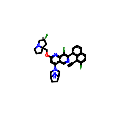 C#Cc1c(F)ccc2cccc(-c3ncc4c(N5CC6CCC(C5)N6)cc(OCC56CCCN5C[C@H](F)C6)nc4c3F)c12